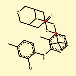 Cc1ccc(Nc2ncnc(OC3CC4COCC(C3)N4C(=O)OCC(C)(C)C)c2C)c(Cl)c1